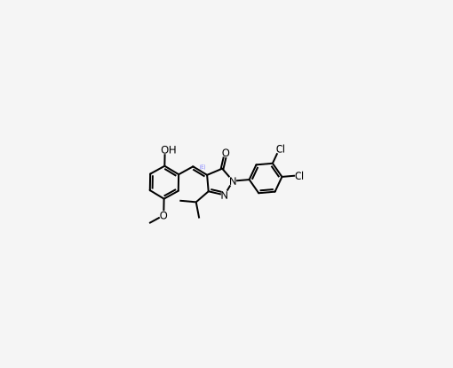 COc1ccc(O)c(/C=C2/C(=O)N(c3ccc(Cl)c(Cl)c3)N=C2C(C)C)c1